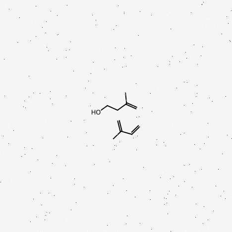 C=C(C)CCO.C=CC(=C)C